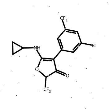 O=C1C(c2cc(Br)cc(C(F)(F)F)c2)=C(NC2CC2)OC1C(F)(F)F